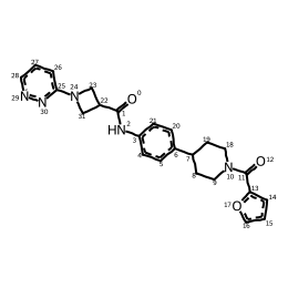 O=C(Nc1ccc(C2CCN(C(=O)c3ccco3)CC2)cc1)C1CN(c2cccnn2)C1